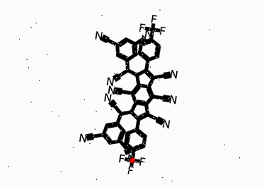 N#CC1=C(c2ccc(C(F)(F)F)cc2)C(C(C#N)c2cc(C#N)cc(C#N)c2)c2c(C#N)c3c(c(C#N)c21)C(C#N)=C(c1ccc(C(F)(F)F)cc1)C3C(C#N)c1cc(C#N)cc(C#N)c1